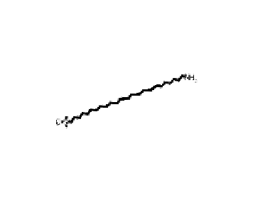 C[Si](C)(Cl)CCCCCCCCCCCCCCCCCCCCCCCCN